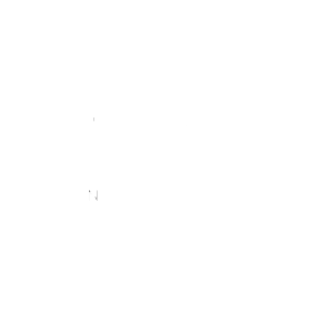 C#Cc1ccnc(OC)c1C(C)C